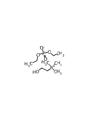 CCOP(=O)([O-])OCC.C[N+](C)(C)CCO